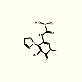 CN(C)C(=O)NC1=CC(Cl)C(=O)C(C(C)(C)C)=C1N1N=CCO1